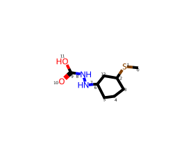 CSC1CCCC(NNC(=O)O)C1